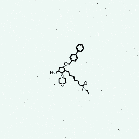 CCOC(=O)CCC=CCCC1C(OCc2ccc(-c3ccccc3)cc2)CC(O)C1N1CCOCC1